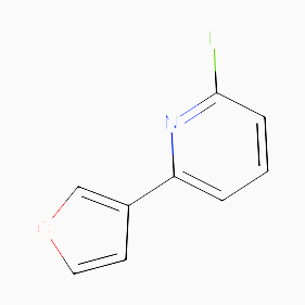 Fc1cccc(-c2ccoc2)n1